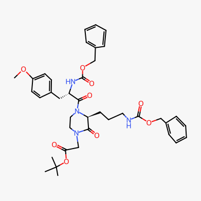 COc1ccc(C[C@H](NC(=O)OCc2ccccc2)C(=O)N2CCN(CC(=O)OC(C)(C)C)C(=O)[C@@H]2CCCNC(=O)OCc2ccccc2)cc1